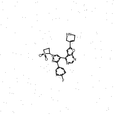 O=S1(=O)CCC1n1cc(-c2ncnc3oc(C4=CCNCC4)cc23)c(-c2ccc(F)cc2)n1